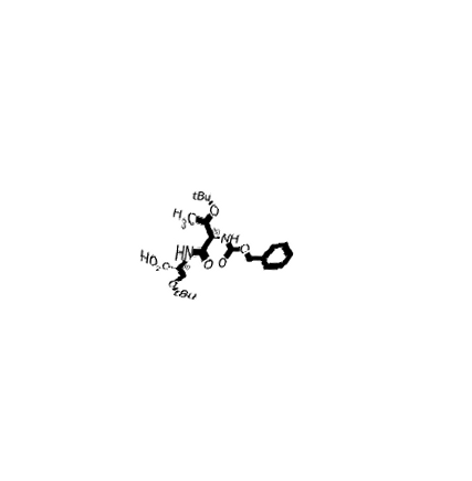 CC(OC(C)(C)C)[C@H](NC(=O)OCc1ccccc1)C(=O)N[C@H](COC(C)(C)C)C(=O)O